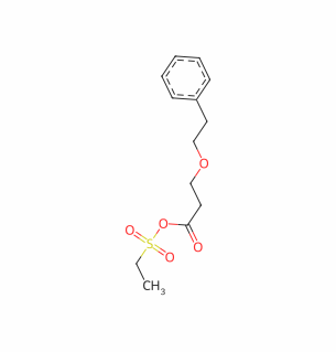 CCS(=O)(=O)OC(=O)CCOCCc1ccccc1